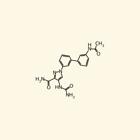 CC(=O)Nc1cccc(-c2cccc(-n3cc(NC(N)=O)c(C(N)=O)n3)c2)c1